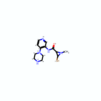 CN1C(S)C1C(=O)Nc1cnccc1N1CCNCC1